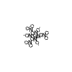 Cc1ccc(N2c3cc(-n4c5ccccc5c5ccccc54)cc4c3[SiH]3c5c2cc(-n2c6ccccc6c6ccccc62)cc5N(c2ccc(C)cc2)c2c3c(cc3cc(-n5c6ccccc6c6ccccc65)ccc23)N4c2ccc(C)cc2)cc1